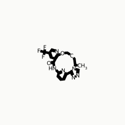 CC1CCCOc2ncc(C(F)(F)F)cc2C(=O)Nc2cccc(n2)-c2nncn21